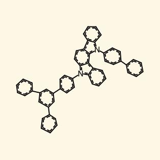 c1ccc(-c2ccc(-n3c4ccccc4c4ccc5c(c6ccccc6n5-c5ccc(-c6cc(-c7ccccc7)cc(-c7ccccc7)c6)cc5)c43)cc2)cc1